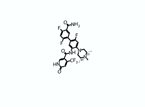 C[C@@H]1CN(c2cc(F)c(-c3cc(C(N)=O)c(F)cc3F)cc2NC(=O)c2c[nH]c(=O)cc2C(F)(F)F)C[C@H](C)N1C